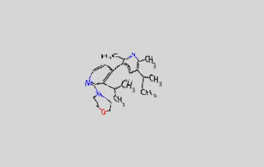 Cc1nc(C)c(C(C)C)cc1-c1ccnc(N2CCOCC2)c1C(C)C